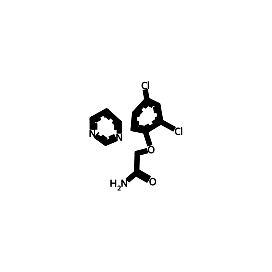 NC(=O)COc1ccc(Cl)cc1Cl.c1cncnc1